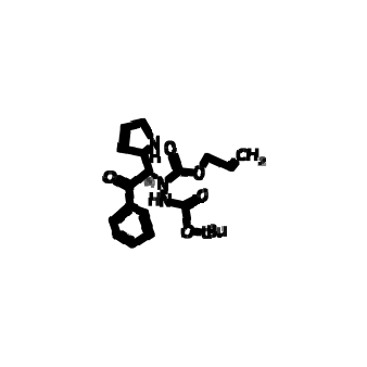 C=CCOC(=O)N(NC(=O)OC(C)(C)C)[C@H](C(=O)c1ccccc1)C1C=CCN1